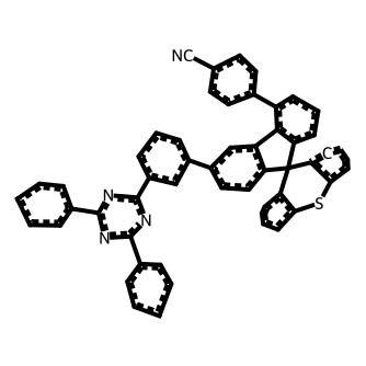 N#Cc1ccc(-c2cccc3c2-c2cc(-c4cccc(-c5nc(-c6ccccc6)nc(-c6ccccc6)n5)c4)ccc2C32c3ccccc3Sc3ccccc32)cc1